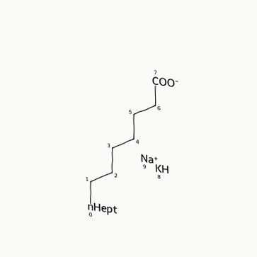 CCCCCCCCCCCCCC(=O)[O-].[KH].[Na+]